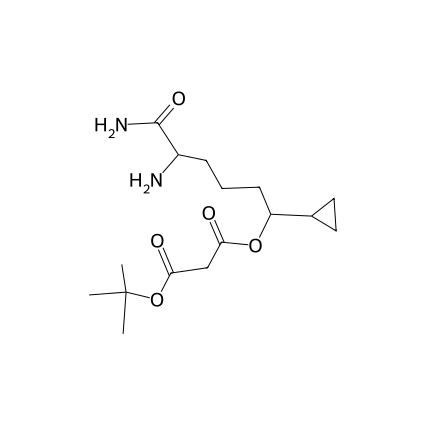 CC(C)(C)OC(=O)CC(=O)OC(CCCC(N)C(N)=O)C1CC1